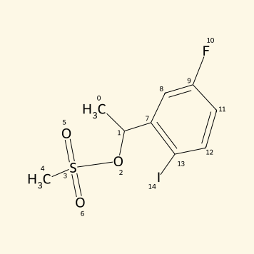 CC(OS(C)(=O)=O)c1cc(F)ccc1I